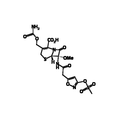 CO[C@@]1(NC(=O)Cc2cc(OS(C)(=O)=O)no2)C(=O)N2C(C(=O)O)=C(COC(N)=O)CS[C@H]21